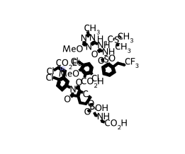 CCOC(=O)/C(Cl)=C/c1cc(N2C(=O)C3=C(CCCC3)C2=O)ccc1Cl.COc1c(Cl)ccc(Cl)c1C(=O)O.COc1nc(C)nc(NC(=O)NS(=O)(=O)c2ccccc2CCC(F)(F)F)n1.C[S+](C)C.O=C(O)CNCP(=O)([O-])O